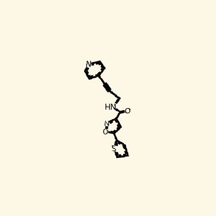 O=C(NCC#Cc1ccncc1)c1cc(-c2cccs2)on1